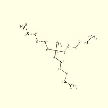 CSCCSCC(C)(CSCCSC)CSCCSC